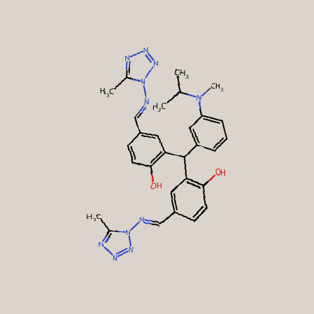 Cc1nnnn1N=Cc1ccc(O)c(C(c2cccc(N(C)C(C)C)c2)c2cc(C=Nn3nnnc3C)ccc2O)c1